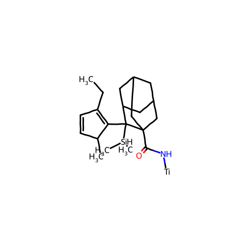 CCC1=C(C2([SiH](C)C)C3CC4CC(C3)CC2(C(=O)[NH][Ti])C4)C(C)C=C1